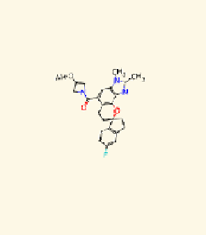 COC1CN(C(=O)c2cc3c(nc(C)n3C)c3c2CCC2(CCc4cc(F)ccc42)O3)C1